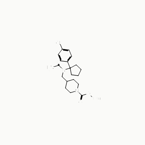 CC(C)(C)OC(=O)N1CCC(CN(C(N)=O)C2(c3ccc(Cl)cc3)CCCC2)CC1